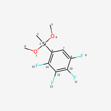 CO[Si](C)(OC)c1cc(F)c(F)c(F)c1F